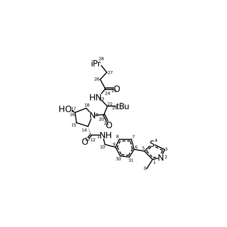 Cc1ncsc1-c1ccc(CNC(=O)[C@@H]2C[C@@H](O)CN2C(=O)C(NC(=O)CCC(C)C)C(C)(C)C)cc1